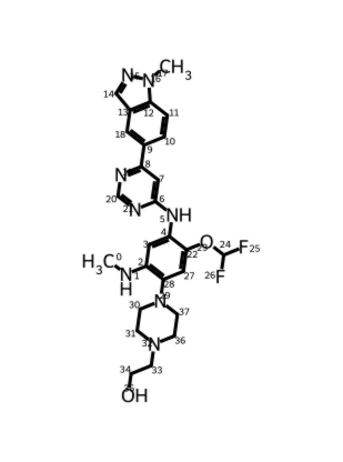 CNc1cc(Nc2cc(-c3ccc4c(cnn4C)c3)ncn2)c(OC(F)F)cc1N1CCN(CCO)CC1